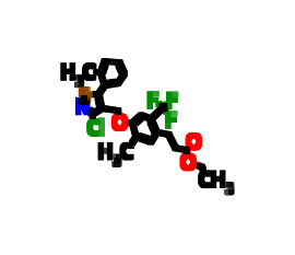 CCOC(=O)CCc1cc(C)c(OCc2c(Cl)nsc2-c2ccccc2C)cc1C(F)(F)F